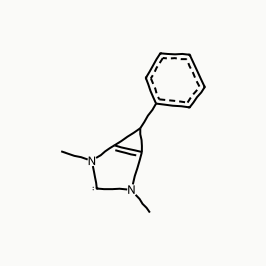 CN1[C]N(C)C2=C1C2c1ccccc1